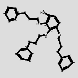 Oc1ccc(OCCCc2ccccc2)c(OCCCc2ccccc2)c1OCCCc1ccccc1